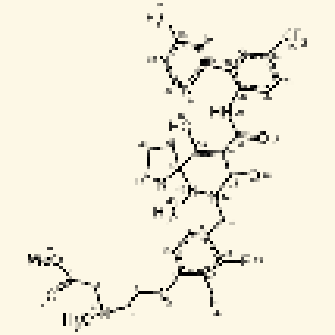 COC(=O)CN(C)CCOc1ccc(CN2C(=O)C(C(=O)Nc3ccc(C(F)(F)F)cc3-c3cc(C(F)(F)F)ncn3)=C(O)C3(CCCC3)N2C)c(F)c1F